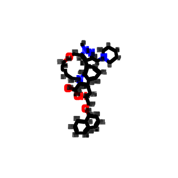 Cn1nc(CN2CCCCC2)c2c1COCCCCn1c(C(=O)O)c(CCCOc3cccc4ccccc34)c3cccc-2c31